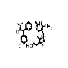 CN(C)C(=O)C(c1ccccc1)c1ccccc1.Cc1ncc(C[n+]2csc(CCO)c2C)c(N)n1.[Cl-]